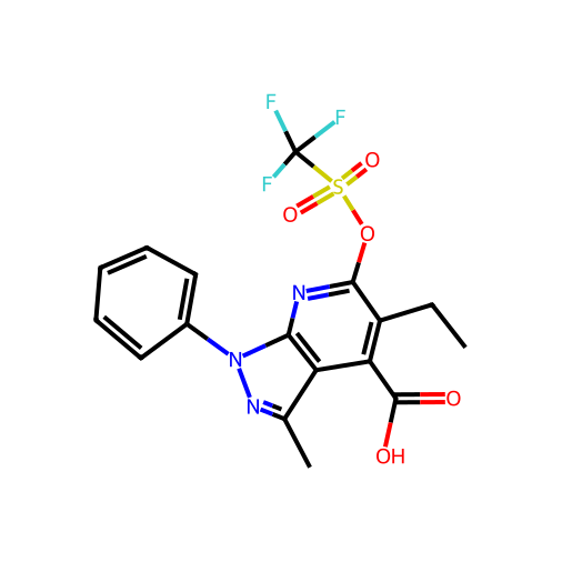 CCc1c(OS(=O)(=O)C(F)(F)F)nc2c(c(C)nn2-c2ccccc2)c1C(=O)O